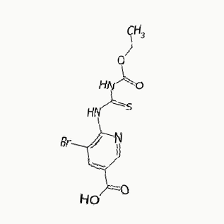 CCOC(=O)NC(=S)Nc1ncc(C(=O)O)cc1Br